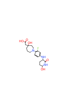 O=C(O)CC1(O)CCCN(c2ccc(NC3CCC(O)NC3=O)cc2F)CC1